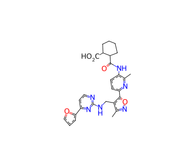 Cc1nc(-c2onc(C)c2CNc2nccc(-c3ccco3)n2)ccc1NC(=O)C1CCCCC1C(=O)O